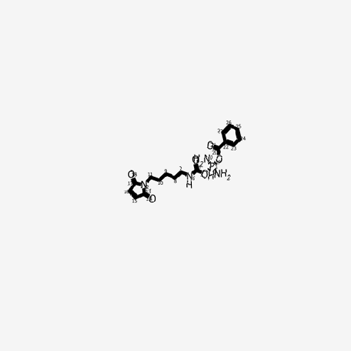 N[PH](N)(OC(=O)NCCCCCN1C(=O)C=CC1=O)OC(=O)c1ccccc1